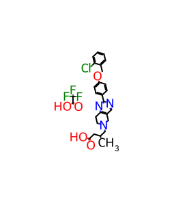 CC(CC(=O)O)CN1CCc2nc(-c3ccc(OCc4ccccc4Cl)cc3)ncc2C1.O=C(O)C(F)(F)F